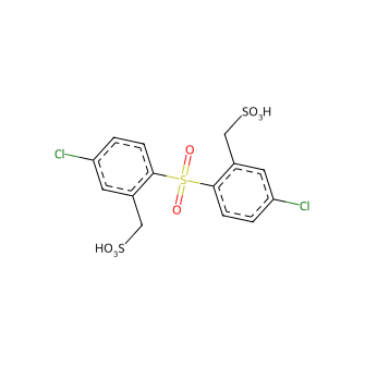 O=S(=O)(O)Cc1cc(Cl)ccc1S(=O)(=O)c1ccc(Cl)cc1CS(=O)(=O)O